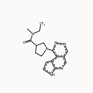 CN(CC(F)(F)F)C(=O)C1CCN(c2nncc3cnc4[nH]ccc4c23)C1